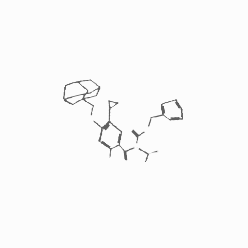 CC(C)[C@@H](C(=O)O)N(C(=O)OCc1ccccc1)C(=O)c1cc(C2CC2)c(OCC23CC4CC(CC(C4)C2)C3)cc1F